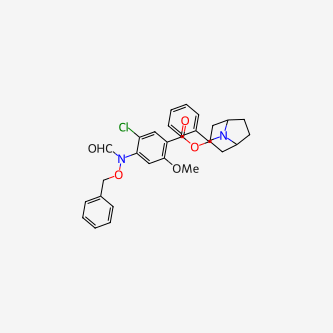 COc1cc(N(C=O)OCc2ccccc2)c(Cl)cc1C(=O)OC1CC2CCC(C1)N2Cc1ccccc1